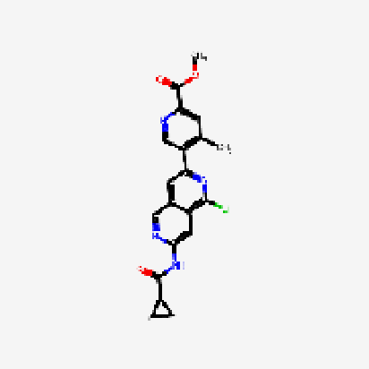 COC(=O)c1cc(C)c(-c2cc3cnc(NC(=O)C4CC4)cc3c(Cl)n2)cn1